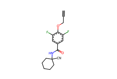 C#CCOc1c(F)cc(C(=O)NC2(C#N)CCCCC2)cc1F